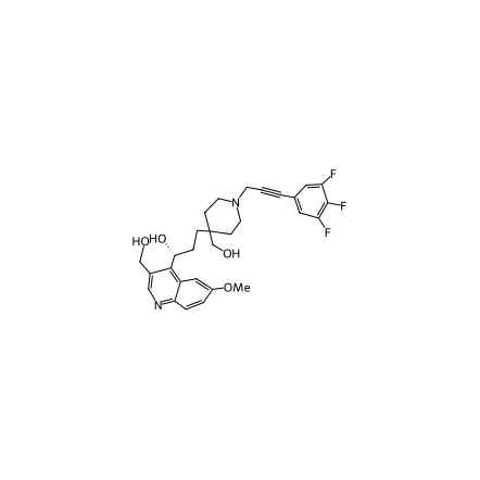 COc1ccc2ncc(CO)c([C@H](O)CCC3(CO)CCN(CC#Cc4cc(F)c(F)c(F)c4)CC3)c2c1